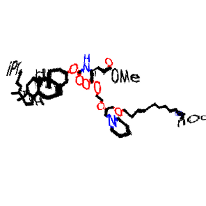 CCCCCCCC/C=C\CCCCCCCCOCC(CN1CCCCC1)OCCOC(=O)[C@H](CCC(=O)OC)NC(=O)OC1CCC2(C)C(=CCC3[C@@H]2CC[C@@]2(C)[C@H]3CCC2(C)C(C)CCCC(C)C)C1